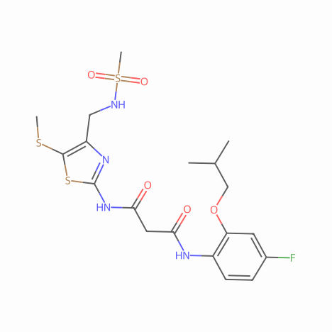 CSc1sc(NC(=O)CC(=O)Nc2ccc(F)cc2OCC(C)C)nc1CNS(C)(=O)=O